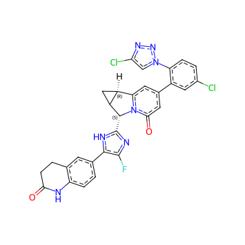 O=C1CCc2cc(-c3[nH]c([C@@H]4C5C[C@H]5c5cc(-c6cc(Cl)ccc6-n6cc(Cl)nn6)cc(=O)n54)nc3F)ccc2N1